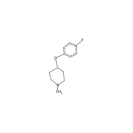 CN1CCC(Oc2ccc(F)cc2)CC1